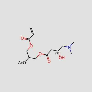 C=CC(=O)OCC(COC(=O)C[C@@H](O)CN(C)C)OC(C)=O